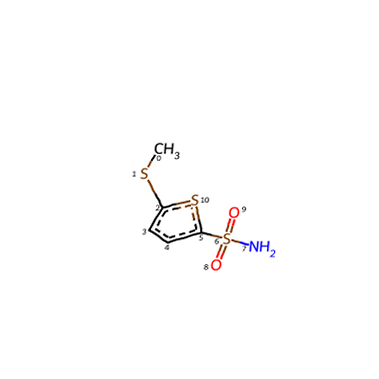 CSc1ccc(S(N)(=O)=O)s1